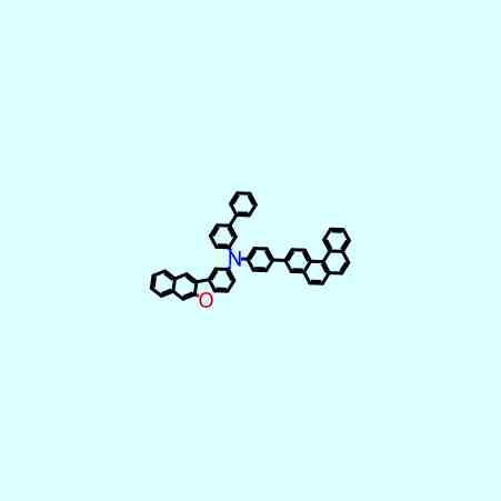 c1ccc(-c2cccc(N(c3ccc(-c4ccc5c(ccc6ccc7ccccc7c65)c4)cc3)c3ccc4oc5cc6ccccc6cc5c4c3)c2)cc1